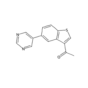 CC(=O)c1csc2ccc(-c3cncnc3)cc12